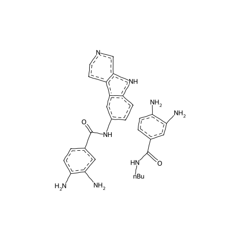 CCCCNC(=O)c1ccc(N)c(N)c1.Nc1ccc(C(=O)Nc2ccc3[nH]c4cnccc4c3c2)cc1N